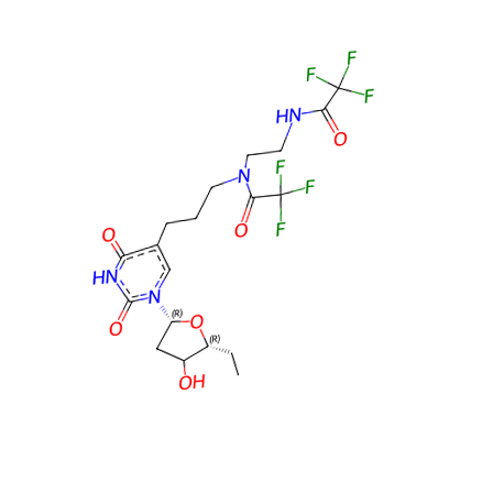 CC[C@H]1O[C@@H](n2cc(CCCN(CCNC(=O)C(F)(F)F)C(=O)C(F)(F)F)c(=O)[nH]c2=O)CC1O